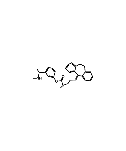 CN[C@@H](C)c1cccc(OC(=O)N(C)CCC=C2c3ccccc3CCc3ccccc32)c1